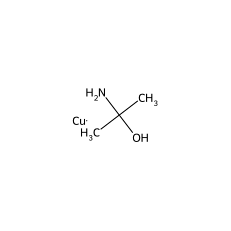 CC(C)(N)O.[Cu]